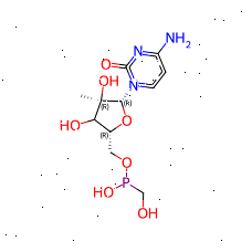 C[C@@]1(O)C(O)[C@@H](COP(O)CO)O[C@H]1n1ccc(N)nc1=O